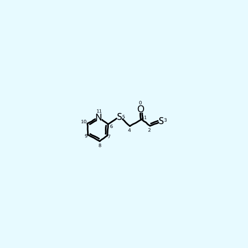 O=C(C=S)CSc1ccccn1